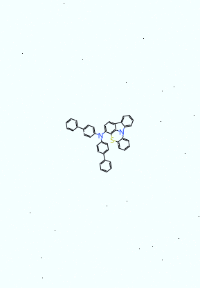 c1ccc(-c2ccc(N(c3ccc(-c4ccccc4)cc3)c3ccc4c5ccccc5n5c4c3Sc3ccccc3-5)cc2)cc1